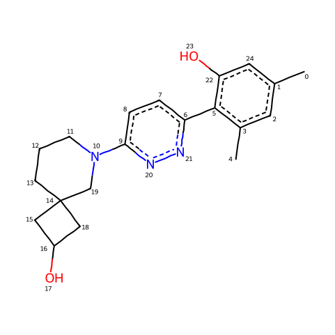 Cc1cc(C)c(-c2ccc(N3CCCC4(CC(O)C4)C3)nn2)c(O)c1